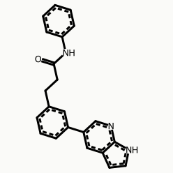 O=C(CCc1cccc(-c2cnc3[nH]ccc3c2)c1)Nc1ccccc1